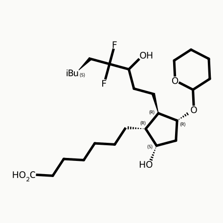 CC[C@H](C)CC(F)(F)C(O)CC[C@@H]1[C@@H](CCCCCCC(=O)O)[C@@H](O)C[C@H]1OC1CCCCO1